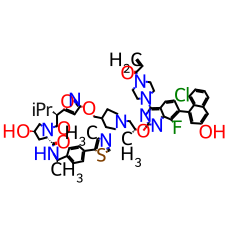 C=CC(=O)N1CCN(c2nc(O[C@H](C)CN3CCC(COc4cc([C@@H](C(=O)N5C[C@H](O)C[C@H]5C(=O)N[C@@H](C)c5ccc(-c6scnc6C)cc5)C(C)C)on4)CC3)nc3c(F)c(-c4cc(O)cc5ccccc45)c(Cl)cc23)CC1